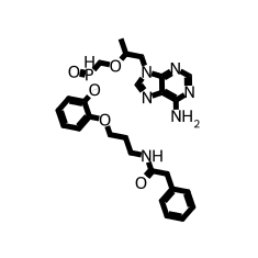 CC(Cn1cnc2c(N)ncnc21)OC[PH](=O)Oc1ccccc1OCCCNC(=O)Cc1ccccc1